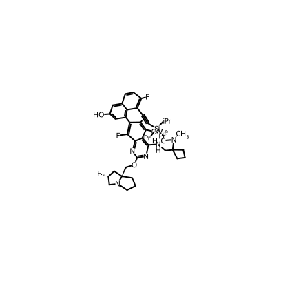 COc1c(F)c(-c2cc(O)cc3ccc(F)c(C#C[Si](C(C)C)(C(C)C)C(C)C)c23)c(F)c2nc(OC[C@@]34CCCN3C[C@H](F)C4)nc(NCC3(N(C)C)CCC3)c12